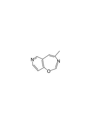 CC1=Cc2cnccc2OC=N1